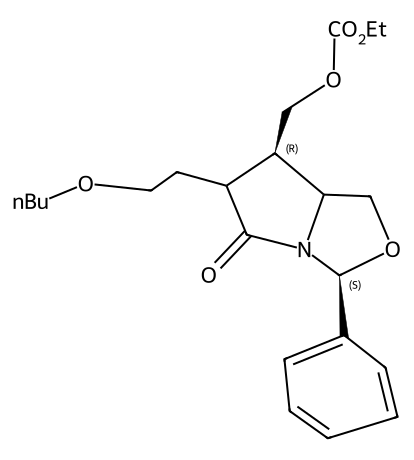 CCCCOCCC1C(=O)N2C(CO[C@H]2c2ccccc2)[C@@H]1COC(=O)OCC